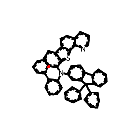 c1ccc(-c2ccccc2N(c2ccc3c(c2)C(c2ccccc2)(c2ccccc2)c2ccccc2-3)c2cccc3c2sc2c3ccc3cccnc32)cc1